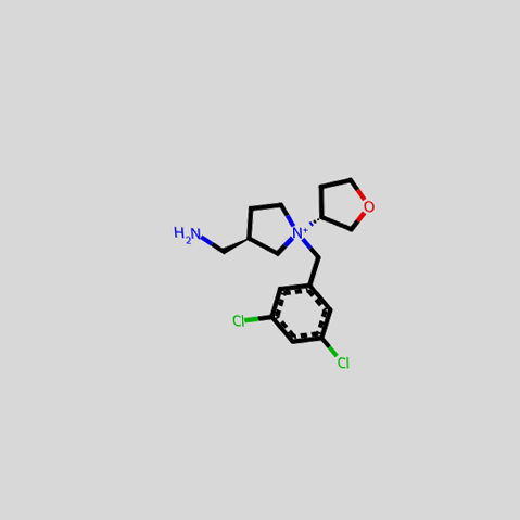 NC[C@H]1CC[N+](Cc2cc(Cl)cc(Cl)c2)([C@@H]2CCOC2)C1